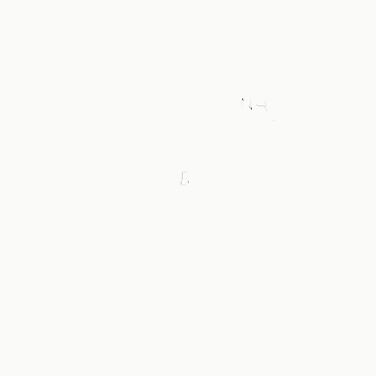 Nc1ccc(B2C(c3ccccc3)=C(c3ccccc3)C(c3ccccc3)=C2c2ccccc2)cc1